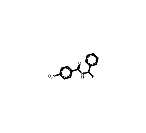 [CH2]CC(NC(=O)c1ccc([N+](=O)[O-])cc1)c1ccccc1